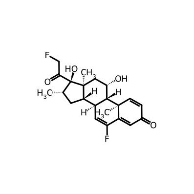 C[C@H]1C[C@H]2[C@@H]3C=C(F)C4=CC(=O)C=C[C@]4(C)[C@H]3[C@@H](O)C[C@]2(C)[C@@]1(O)C(=O)CF